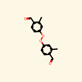 Cc1cc(OOc2ccc(C=O)c(C)c2)ccc1C=O